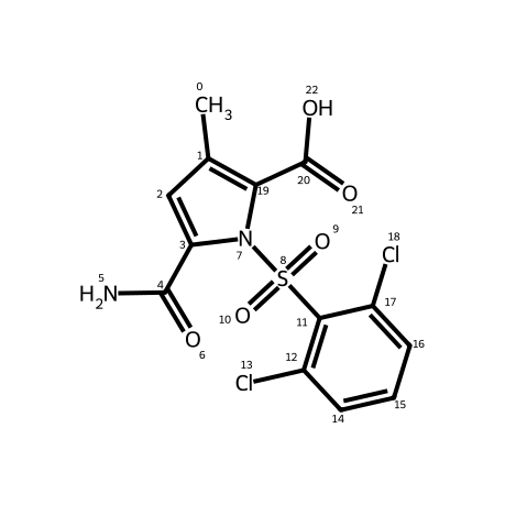 Cc1cc(C(N)=O)n(S(=O)(=O)c2c(Cl)cccc2Cl)c1C(=O)O